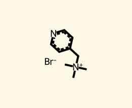 C[N+](C)(C)Cc1ccncc1.[Br-]